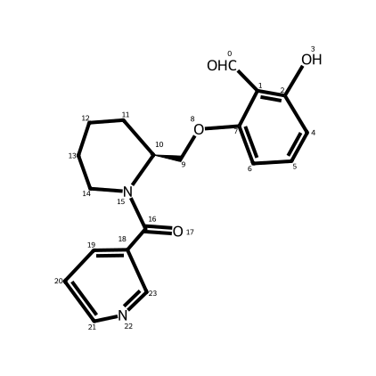 O=Cc1c(O)cccc1OC[C@@H]1CCCCN1C(=O)c1cccnc1